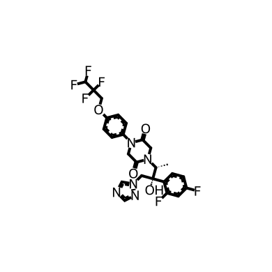 C[C@@H](N1CC(=O)N(c2ccc(OCC(F)(F)C(F)F)cc2)CC1=O)[C@](O)(Cn1cncn1)c1ccc(F)cc1F